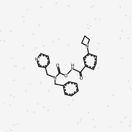 O=C(NOC(=O)N(Cc1ccccc1)Cc1cccnc1)c1cccc(N2CCC2)c1